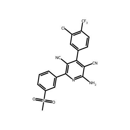 CS(=O)(=O)c1cccc(-c2nc(N)c(C#N)c(-c3ccc(C(F)(F)F)c(Cl)c3)c2C#N)c1